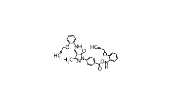 C#CCOc1ccccc1NC=C1C(=O)N(c2ccc(C(=O)ONc3ccccc3OCC#C)cc2)N=C1C